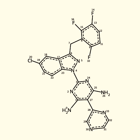 Nc1nc(-n2nc(Cc3c(F)ccc(F)c3F)c3cc(Cl)ccc32)nc(N)c1-c1cnccn1